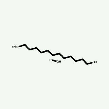 CCCCCCCCCCCCCCCCCCCCCO.CCO